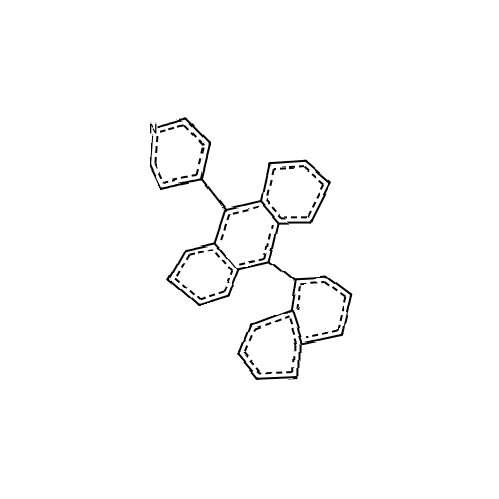 c1ccc2c(-c3c4ccccc4c(-c4ccncc4)c4ccccc34)cccc2c1